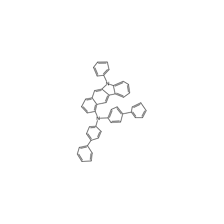 c1ccc(-c2ccc(N(c3ccc(-c4ccccc4)cc3)c3cccc4cc5c(cc34)c3ccccc3n5-c3ccccc3)cc2)cc1